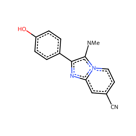 CNc1c(-c2ccc(O)cc2)nc2cc(C#N)ccn12